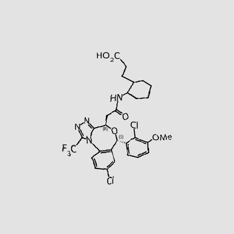 COc1cccc([C@H]2O[C@H](CC(=O)NC3CCCCC3CCC(=O)O)c3nnc(C(F)(F)F)n3-c3ccc(Cl)cc32)c1Cl